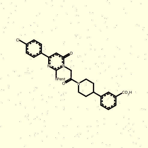 CCCCCc1nc(-c2ccc(Cl)cc2)cc(=O)n1CC(=O)N1CCC(c2cccc(C(=O)O)c2)CC1